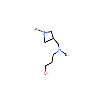 CCN(CCCO)CC1CN(C(C)C)C1